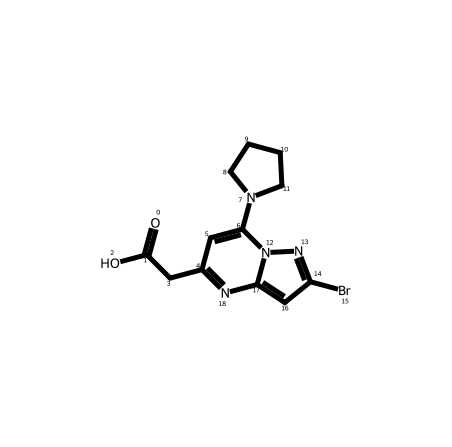 O=C(O)Cc1cc(N2CCCC2)n2nc(Br)cc2n1